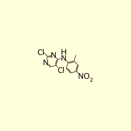 Cc1cc([N+](=O)[O-])ccc1Nc1nc(Cl)ncc1Cl